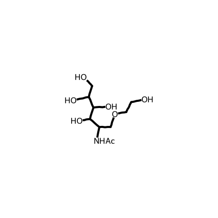 CC(=O)NC(COCCO)C(O)C(O)C(O)CO